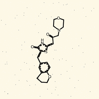 O=C(/C=c1\[nH]c(=O)/c(=C/c2ccc3c(c2)CCCO3)s1)CN1CCOCC1